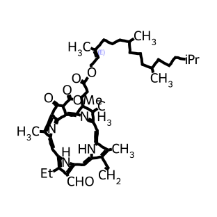 C=Cc1c(C)c2cc3nc(c4c5nc(cc6[nH]c(cc1[nH]2)c(C=O)c6CC)C(C)=C5C(=O)C4C(=O)OC)C(CCC(=O)OC/C=C(\C)CCCC(C)CCCC(C)CCCC(C)C)C3C